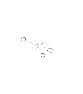 O=C(COc1ccccc1)N[C@@H]1C(=O)N2C(C(=O)OC(c3ccccc3)c3ccccc3)=C(CCBr)CS[C@H]12